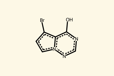 Oc1ncnn2ccc(Br)c12